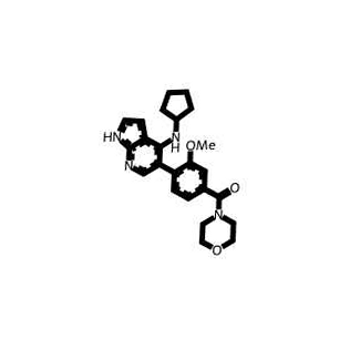 COc1cc(C(=O)N2CCOCC2)ccc1-c1cnc2[nH]ccc2c1NC1CCCC1